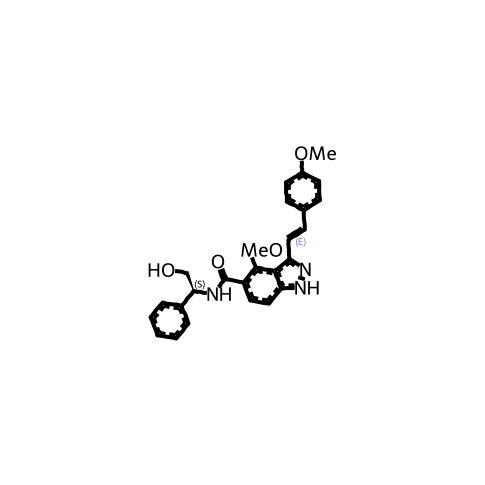 COc1ccc(/C=C/c2n[nH]c3ccc(C(=O)N[C@H](CO)c4ccccc4)c(OC)c23)cc1